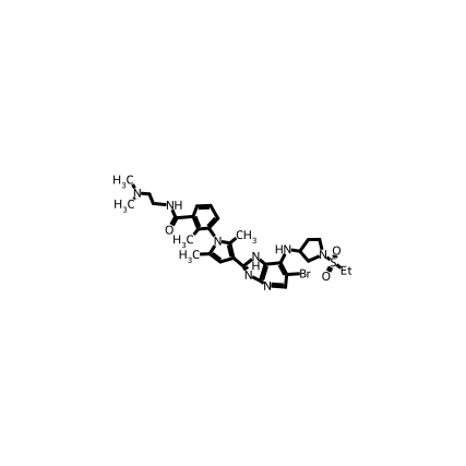 CCS(=O)(=O)N1CCC(Nc2c(Br)cnc3nc(-c4cc(C)n(-c5cccc(C(=O)NCCN(C)C)c5C)c4C)[nH]c23)C1